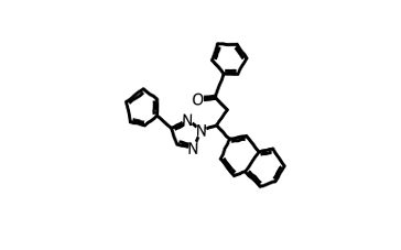 O=C(CC(c1ccc2ccccc2c1)n1ncc(-c2ccccc2)n1)c1ccccc1